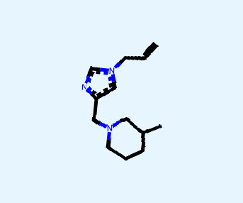 C=CCn1cnc(CN2CCCC(C)C2)c1